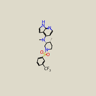 C[C@@H]1CCN(S(=O)(=O)c2cccc(C(F)(F)F)c2)C[C@@H]1N(C)c1ccnc2[nH]ccc12